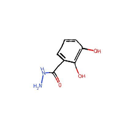 NNC(=O)c1cccc(O)c1O